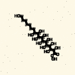 O=C(OO)C(O)C(O)C(O)C(O)C(O)C(O)C(O)C(O)C(O)C(O)CCCCCCCO